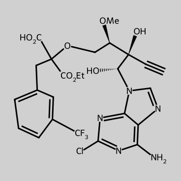 C#C[C@@](O)([C@@H](COC(Cc1cccc(C(F)(F)F)c1)(C(=O)O)C(=O)OCC)OC)[C@@H](O)n1cnc2c(N)nc(Cl)nc21